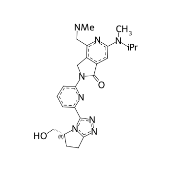 CNCc1nc(N(C)C(C)C)cc2c1CN(c1cccc(-c3nnc4n3[C@@H](CO)CC4)n1)C2=O